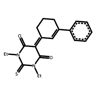 CCN1C(=O)C(=C2C=C(c3ccccc3)CCC2)C(=O)N(CC)C1=S